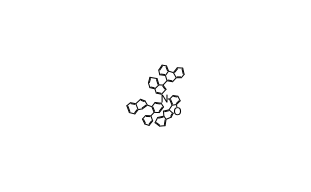 c1ccc(-c2ccc(N(c3cc(-c4cc5ccccc5c5ccccc45)c4ccccc4c3)c3cccc4oc5cc6ccccc6cc5c34)cc2-c2ccc3ccccc3c2)cc1